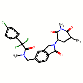 BC1CC(N2Cc3cc(CN(B)C(=O)C(F)(F)c4ccc(Cl)cc4)ccc3C2=O)C(=O)N(B)C1=O